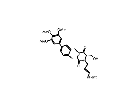 CCCCCC=CCN1C(=O)[C@H](Cc2ccc(-c3cc(OC)c(OC)c(OC)c3)cc2)N(C)C(=O)[C@@H]1CO